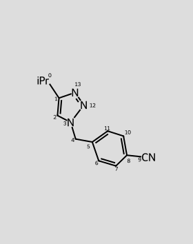 CC(C)c1cn(Cc2ccc(C#N)cc2)nn1